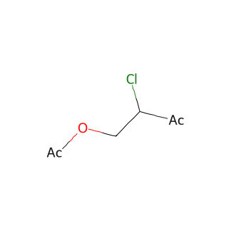 CC(=O)OCC(Cl)C(C)=O